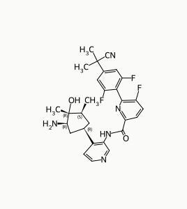 C[C@H]1C[C@@H](c2ccncc2NC(=O)c2ccc(F)c(-c3c(F)cc(C(C)(C)C#N)cc3F)n2)C[C@@H](N)[C@]1(C)O